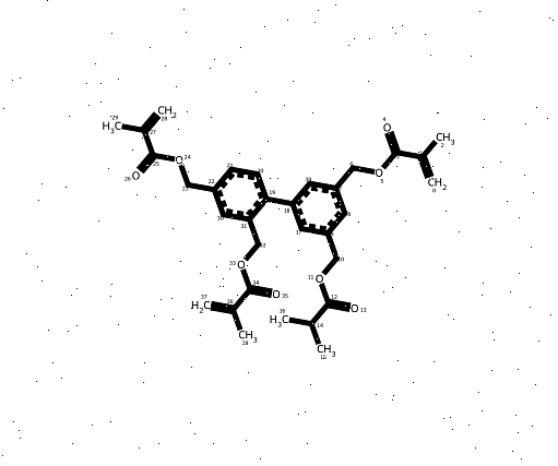 C=C(C)C(=O)OCc1cc(COC(=O)C(C)C)cc(-c2ccc(COC(=O)C(=C)C)cc2COC(=O)C(=C)C)c1